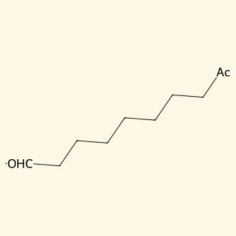 CC(=O)CCCCCCC[C]=O